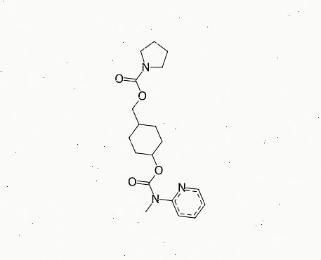 CN(C(=O)OC1CCC(COC(=O)N2CCCC2)CC1)c1ccccn1